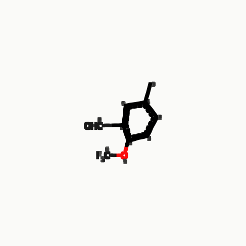 Cc1ccc(OC(F)(F)F)c(C=O)c1